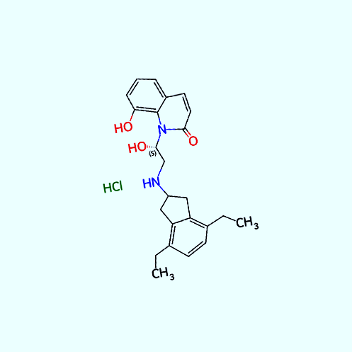 CCc1ccc(CC)c2c1CC(NC[C@H](O)n1c(=O)ccc3cccc(O)c31)C2.Cl